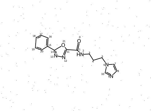 O=C(NCCCn1ccnc1)c1nnc(-c2ccccc2)o1